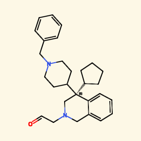 O=CCN1Cc2ccccc2[C@](C2CCCC2)(C2CCN(Cc3ccccc3)CC2)C1